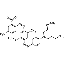 CCCCN(CCOC)c1ccc(/N=N\c2cc(C)c(/N=N\c3ccc(C)cc3[N+](=O)[O-])cc2OC)cc1